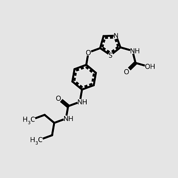 CCC(CC)NC(=O)Nc1ccc(Oc2cnc(NC(=O)O)s2)cc1